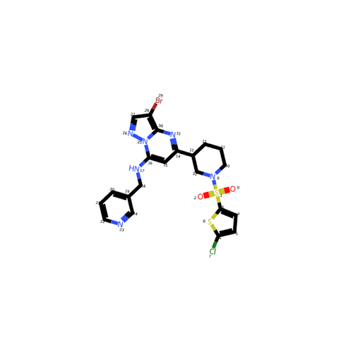 O=S(=O)(c1ccc(Cl)s1)N1CCCC(c2cc(NCc3cccnc3)n3ncc(Br)c3n2)C1